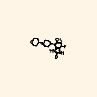 Cc1cc(F)c2[nH]c(=O)[nH]c2c1C1CCN(C2CCOCC2)CC1